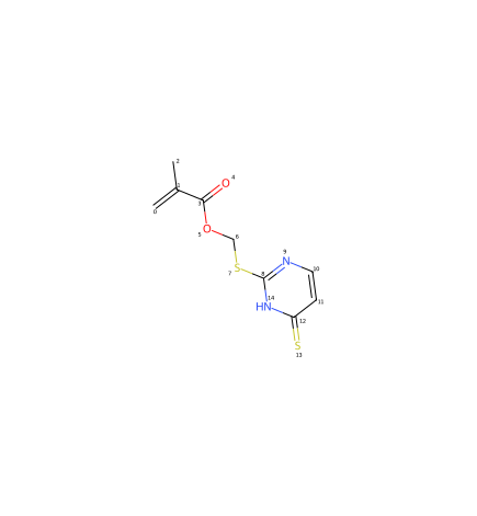 C=C(C)C(=O)OCSc1nccc(=S)[nH]1